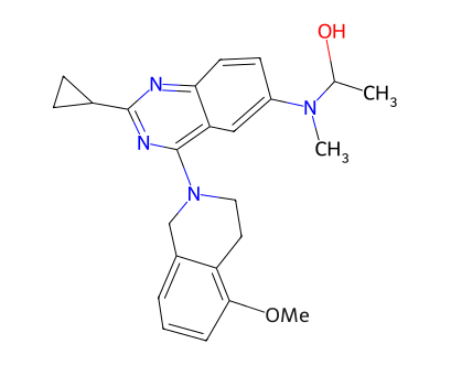 COc1cccc2c1CCN(c1nc(C3CC3)nc3ccc(N(C)C(C)O)cc13)C2